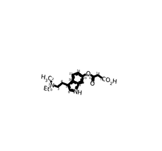 CCN(C)CCc1c[nH]c2cc(OC(=O)CC(=O)O)ccc12